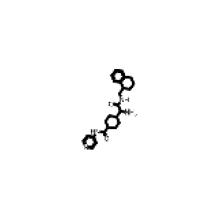 NC(C(=O)NCC1CCCc2ccccc21)C1CCC(C(=O)Nc2ccncc2)CC1